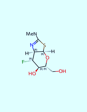 CNC1=N[C@@H]2[C@@H](F)[C@H](O)[C@@H](CO)O[C@@H]2S1